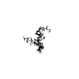 Cl.NCc1ccc(C(=O)CSc2nc(C(F)(F)F)nc3c2cnn3C2CC2)s1